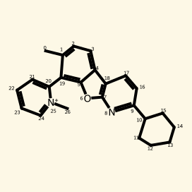 Cc1ccc2c(oc3nc(C4CCCCC4)ccc32)c1-c1cccc[n+]1C